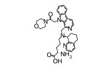 N[C@@H](CCCN(Cc1nccc2c3ccccc3n(CC(=O)N3CCOCC3)c12)[C@H]1CCCc2cccnc21)C(=O)O